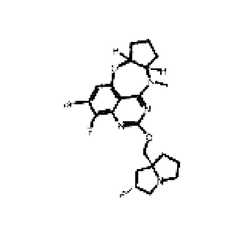 CN1c2nc(OC[C@@]34CCCN3C[C@H](F)C4)nc3c(F)c(Br)cc(c23)O[C@@H]2CCC[C@@H]21